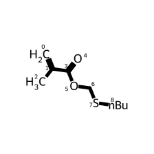 C=C(C)C(=O)OCSCCCC